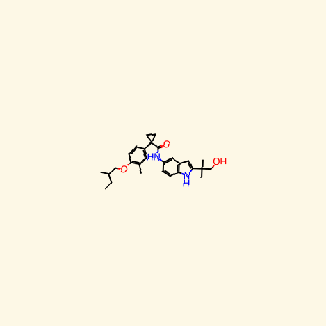 CCC(C)COc1ccc(C2(C(=O)Nc3ccc4[nH]c(C(C)(C)CO)cc4c3)CC2)cc1C